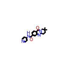 CC1(C)CCc2nc3cc(C(=O)Nc4ccncc4)ccc3c(=O)n2C1